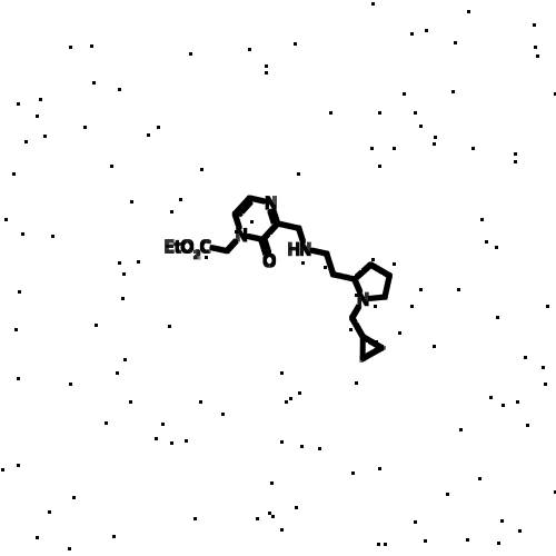 CCOC(=O)Cn1ccnc(CNCCC2CCCN2CC2CC2)c1=O